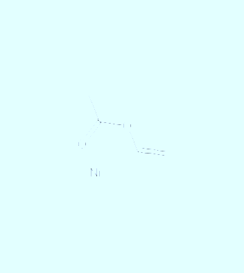 C=COC(C)=O.[Ni]